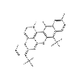 Cc1ccc2c(C(C)(C)C)c3c(c(C)c2c1)-c1c2c(cc4c(C(C)(C)C)cccc4c2cc[n+]1C)O3